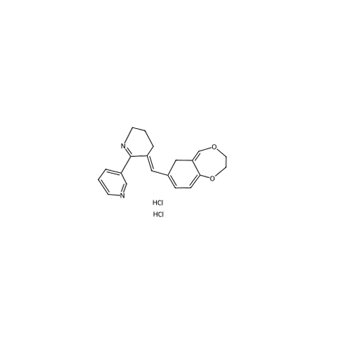 C1=C(C=C2CCCN=C2c2cccnc2)CC2=COCCOC2=C1.Cl.Cl